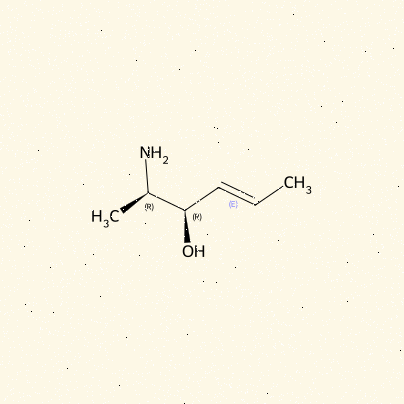 C/C=C/[C@@H](O)[C@@H](C)N